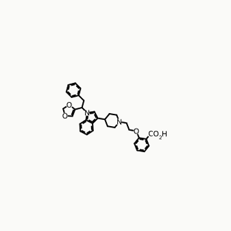 O=C(O)c1ccccc1OCCN1CCC(c2cn(C(Cc3ccccc3)C3=COCO3)c3ccccc23)CC1